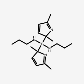 CCC[NH][Ti]([NH]CCC)([C]1(C)C=CC(C)=N1)[C]1(C)C=CC(C)=N1